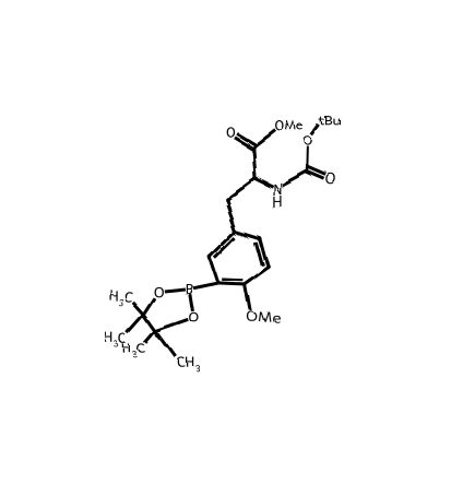 COC(=O)C(Cc1ccc(OC)c(B2OC(C)(C)C(C)(C)O2)c1)NC(=O)OC(C)(C)C